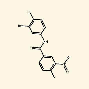 Cc1ccc(C(=O)Nc2ccc(Cl)c(Br)c2)cc1[N+](=O)[O-]